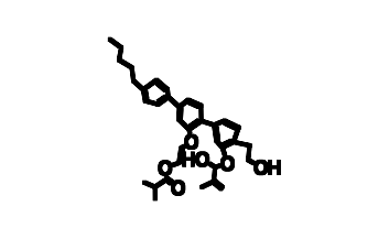 C=C(C)C(O)Oc1cc(-c2ccc(-c3ccc(CCCCC)cc3)cc2O/C=C/OC(=O)C(C)C)ccc1CCO